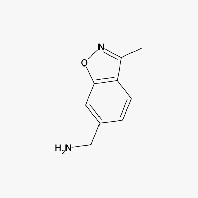 Cc1noc2cc(CN)ccc12